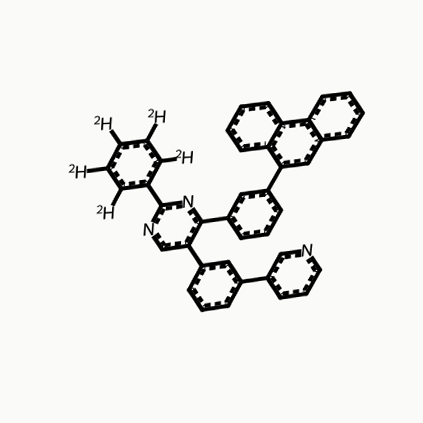 [2H]c1c([2H])c([2H])c(-c2ncc(-c3cccc(-c4cccnc4)c3)c(-c3cccc(-c4cc5ccccc5c5ccccc45)c3)n2)c([2H])c1[2H]